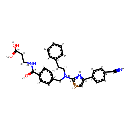 N#Cc1ccc(-c2csc(N(CCc3ccccc3)Cc3ccc(C(=O)NCCC(=O)O)cc3)n2)cc1